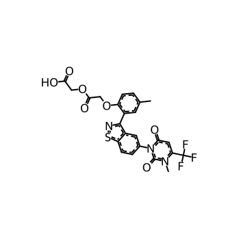 Cc1ccc(OCC(=O)OCC(=O)O)c(-c2nsc3ccc(-n4c(=O)cc(C(F)(F)F)n(C)c4=O)cc23)c1